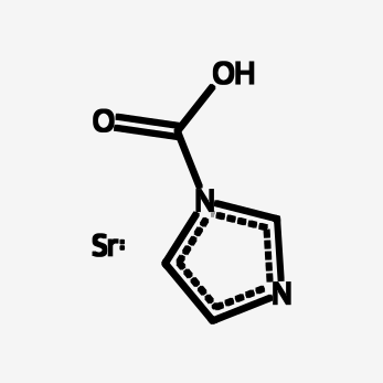 O=C(O)n1ccnc1.[Sr]